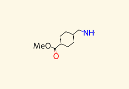 COC(=O)C1CCC(C[NH])CC1